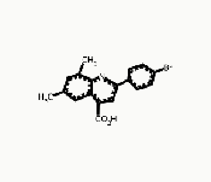 Cc1cc(C)c2nc(-c3ccc(Br)cc3)cc(C(=O)O)c2c1